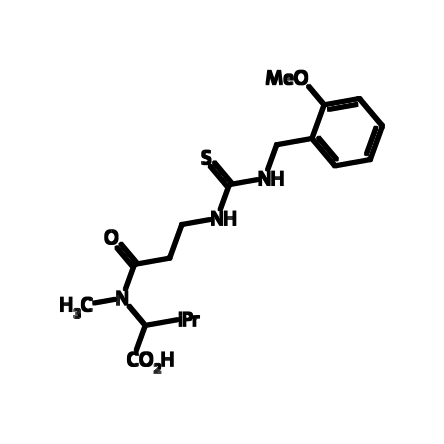 COc1ccccc1CNC(=S)NCCC(=O)N(C)C(C(=O)O)C(C)C